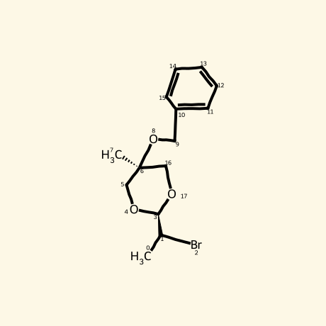 CC(Br)[C@H]1OC[C@@](C)(OCc2ccccc2)CO1